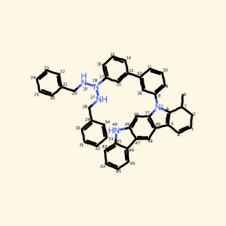 CC1CC=Cc2c1n(-c1cccc(-c3cccc(N(NCc4ccccc4)NCc4ccccc4)c3)c1)c1cc3[nH]c4ccccc4c3cc21